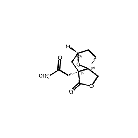 O=CC(=O)C[C@]12C[C@@H]3CC[C@@]1(COC2=O)O3